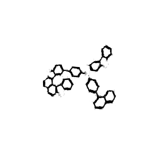 c1ccc2c(-c3ccc(N(c4ccc(-c5ccc6sc7ccc8ccc9oc%10ccccc%10c9c8c7c6c5)cc4)c4ccc5c(c4)oc4ccccc45)cc3)cccc2c1